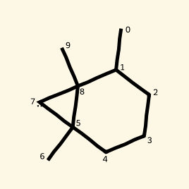 CC1CCCC2(C)[C]C12C